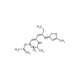 C=C(C)OC(=C)/C=C(/C=C(CC)\N=C1\C=C(C)OC1)NC(C)C